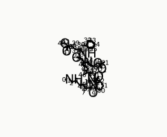 CNCCCC[C@@H](C)C(=O)NC1(C(=O)N(C)[C@H](C[C@@H](OC(C)=O)c2nc(C(=O)N[C@@H](Cc3ccccc3)C[C@H](C)C(=O)OC)cs2)C(C)C)CCCC1